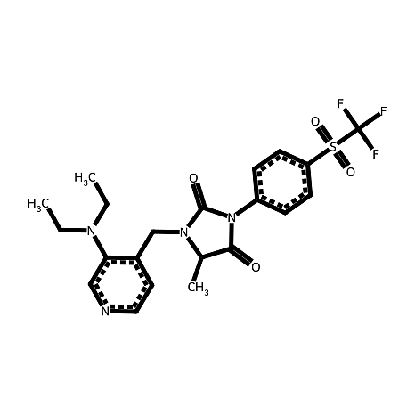 CCN(CC)c1cnccc1CN1C(=O)N(c2ccc(S(=O)(=O)C(F)(F)F)cc2)C(=O)C1C